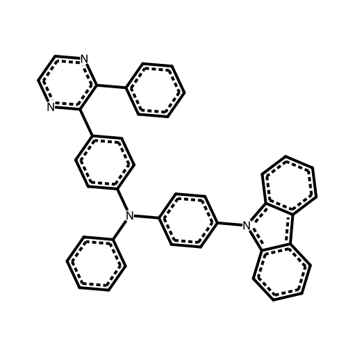 c1ccc(-c2nccnc2-c2ccc(N(c3ccccc3)c3ccc(-n4c5ccccc5c5ccccc54)cc3)cc2)cc1